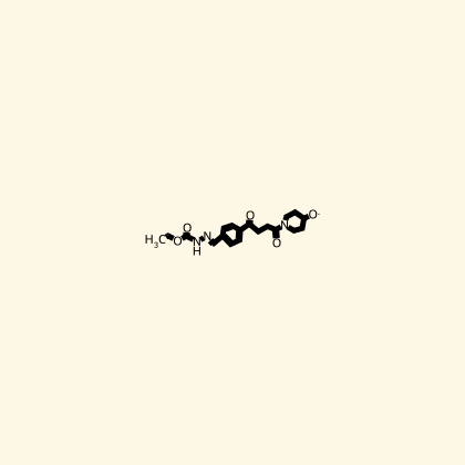 CCOC(=O)NN=Cc1ccc(C(=O)CCC(=O)N2CCC([O])CC2)cc1